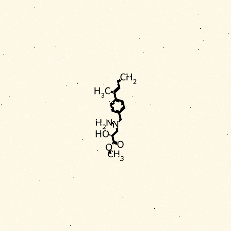 C=C/C=C(\C)c1ccc(CN(N)C[C@@H](O)C(=O)OC)cc1